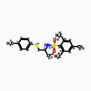 Cc1ccc(SCC(NS(=O)(=O)c2c(C)cc(C)cc2C)C(F)(F)F)cc1